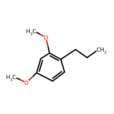 [CH2]CCc1ccc(OC)cc1OC